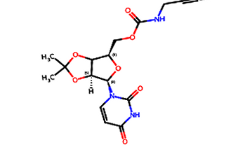 C#CCNC(=O)OC[C@H]1O[C@@H](n2ccc(=O)[nH]c2=O)[C@H]2OC(C)(C)OC12